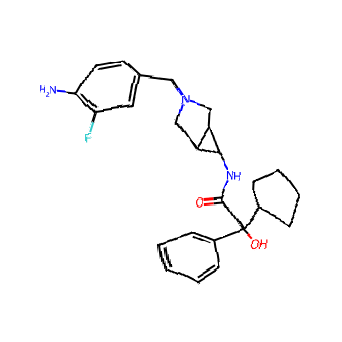 Nc1ccc(CN2CC3C(C2)C3NC(=O)C(O)(c2ccccc2)C2CCCC2)cc1F